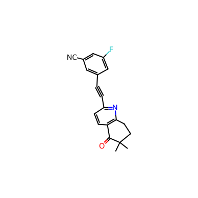 CC1(C)CCc2nc(C#Cc3cc(F)cc(C#N)c3)ccc2C1=O